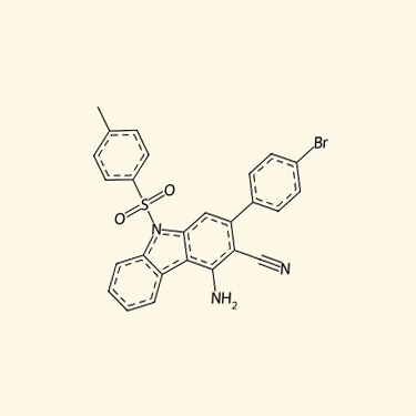 Cc1ccc(S(=O)(=O)n2c3ccccc3c3c(N)c(C#N)c(-c4ccc(Br)cc4)cc32)cc1